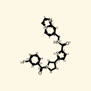 O=C(NCc1ccn2ccnc2c1)c1ccc(C2CCN(C(=O)c3cccc(F)c3)C2)s1